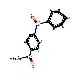 CCCCC[CH2][Co](=[O])[c]1cc[c]([Co](=[O])[c]2ccccc2)cc1